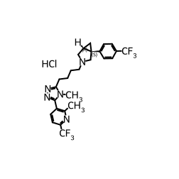 Cc1nc(C(F)(F)F)ccc1-c1nnc(CCCCN2C[C@@H]3C[C@]3(c3ccc(C(F)(F)F)cc3)C2)n1C.Cl